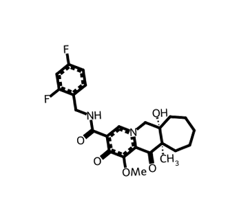 COc1c2n(cc(C(=O)NCc3ccc(F)cc3F)c1=O)C[C@@]1(O)CCCCC[C@@]1(C)C2=O